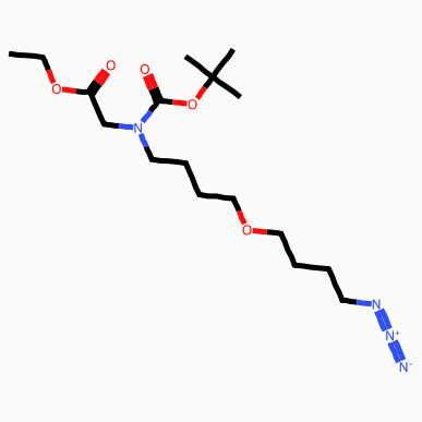 CCOC(=O)CN(CCCCOCCCCN=[N+]=[N-])C(=O)OC(C)(C)C